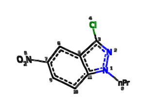 CCCn1nc(Cl)c2cc([N+](=O)[O-])ccc21